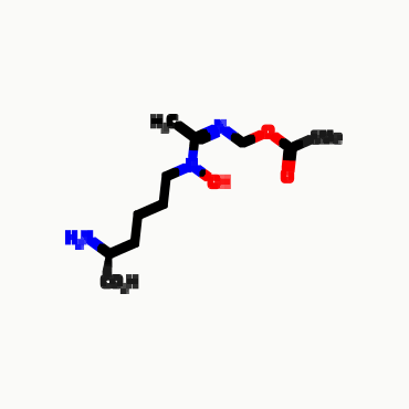 CSC(=O)OCN=C(C)N(O)CCCC[C@H](N)C(=O)O